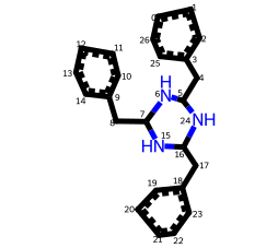 c1ccc(CC2NC(Cc3ccccc3)NC(Cc3ccccc3)N2)cc1